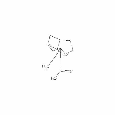 CC1(C(=O)O)C=C2CC3CC(CC23)C1